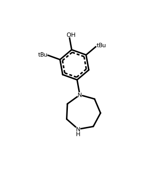 CC(C)(C)c1cc(N2CCCNCC2)cc(C(C)(C)C)c1O